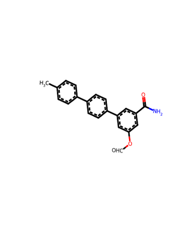 Cc1ccc(-c2ccc(-c3cc(OC=O)cc(C(N)=O)c3)cc2)cc1